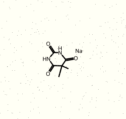 CC1(C)C(=O)NC(=O)NC1=O.[Na]